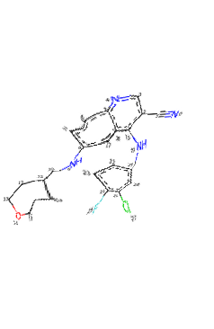 N#Cc1cnc2ccc(NCC3CCOCC3)cc2c1Nc1ccc(F)c(Cl)c1